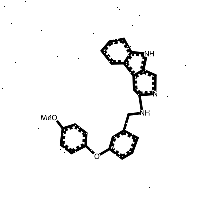 COc1ccc(Oc2cccc(CNc3cc4c(cn3)[nH]c3ccccc34)c2)cc1